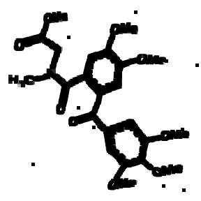 COC(=O)CN(C)C(=O)c1cc(OC)c(OC)cc1C(=O)c1cc(OC)c(OC)c(OC)c1